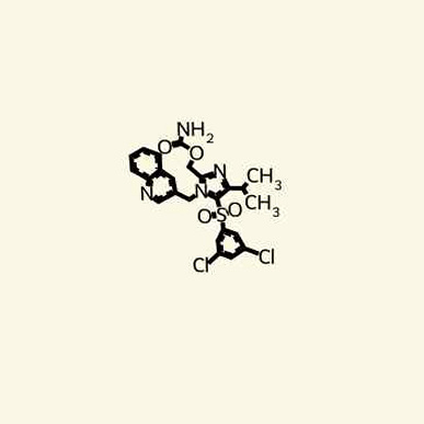 CC(C)c1nc(COC(N)=O)n(Cc2cnc3ccccc3c2)c1S(=O)(=O)c1cc(Cl)cc(Cl)c1